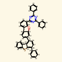 c1ccc(-c2nc(-c3ccccc3)nc(-c3cccc4c3oc3cc(-c5ccc(-c6ccccc6)c6sc7ccccc7c56)ccc34)n2)cc1